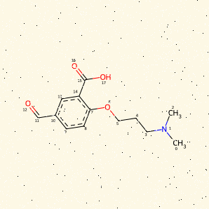 CN(C)CCCOc1ccc(C=O)cc1C(=O)O